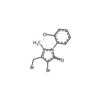 Cn1c(CBr)c(Br)c(=O)n1-c1ccccc1Cl